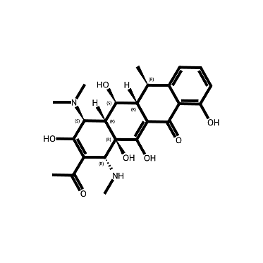 CN[C@@H]1C(C(C)=O)=C(O)[C@@H](N(C)C)[C@@H]2[C@@H](O)[C@H]3C(=C(O)[C@@]21O)C(=O)c1c(O)cccc1[C@@H]3C